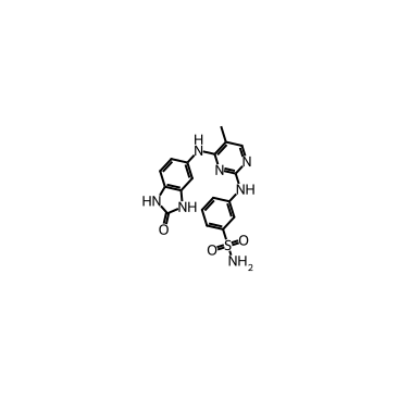 Cc1cnc(Nc2cccc(S(N)(=O)=O)c2)nc1Nc1ccc2[nH]c(=O)[nH]c2c1